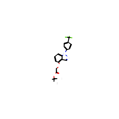 CC(C)(C)OC(=O)COc1cccc2c1cnn2-c1ccc(C(F)(F)F)cc1